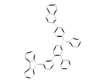 c1ccc(-c2cc(N(c3ccccc3)c3ccc(-c4ccc5ccccc5c4)cc3)ccc2-c2cccc(-n3c4ccccc4c4ccccc43)c2)cc1